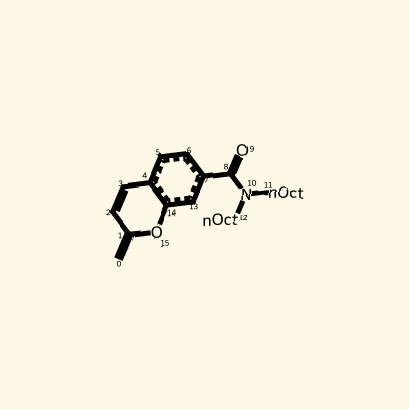 C=C1C=Cc2ccc(C(=O)N(CCCCCCCC)CCCCCCCC)cc2O1